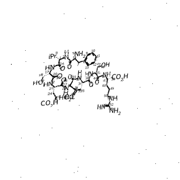 CC(C)[C@H](NC(=O)[C@@H](N)Cc1ccccc1)C(=O)N[C@@H](CO)C(=O)N[C@@H](CCC(=O)O)C(=O)N[C@H](C(=O)N[C@@H](CCC(=O)O)C(=O)N[C@@H](CO)C(=O)N[C@@H](CCCNC(=N)N)C(=O)O)[C@@H](C)O